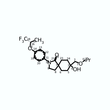 CC(C)OCC1(O)CCC2(CCN(c3ccc(O[C@@H](C)C(F)(F)F)cc3)C2=O)CC1